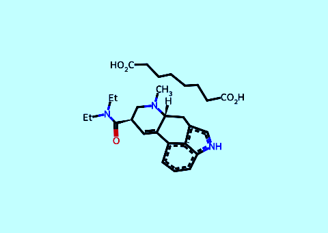 CCN(CC)C(=O)[C@@H]1C=C2c3cccc4[nH]cc(c34)C[C@H]2N(C)C1.O=C(O)CCCCCCC(=O)O